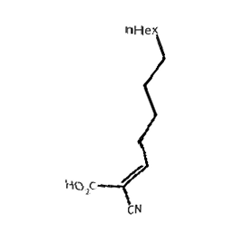 CCCCCCCCCCC=C(C#N)C(=O)O